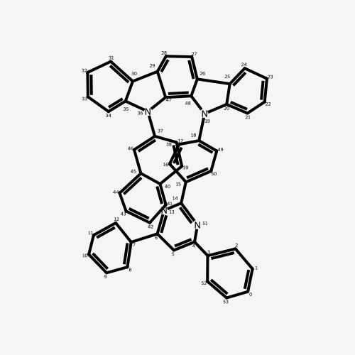 c1ccc(-c2cc(-c3ccccc3)nc(-c3ccc(-n4c5ccccc5c5ccc6c7ccccc7n(-c7ccc8ccccc8c7)c6c54)cc3)n2)cc1